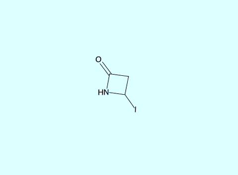 O=C1CC(I)N1